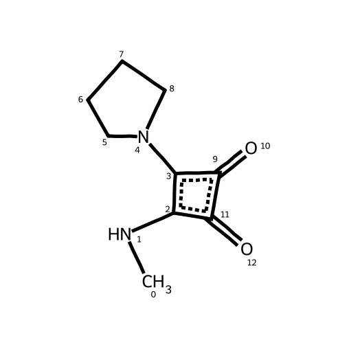 CNc1c(N2CCCC2)c(=O)c1=O